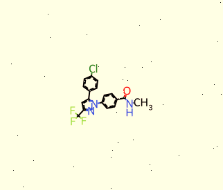 CNC(=O)c1ccc(-n2nc(C(F)(F)F)cc2-c2ccc(Cl)cc2)cc1